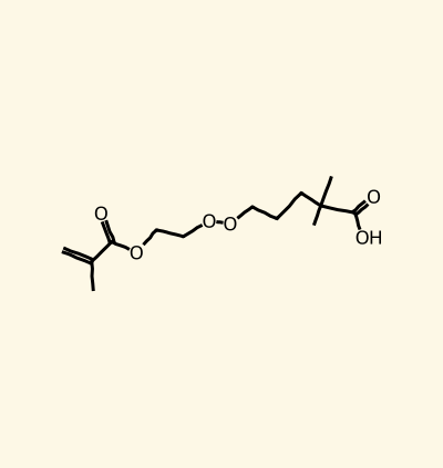 C=C(C)C(=O)OCCOOCCCC(C)(C)C(=O)O